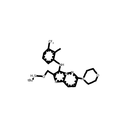 Cc1c(Nc2c(CO[SiH2]C(C)(C)C)nc3ccc(N4CCOCC4)nn23)cccc1C(F)(F)F